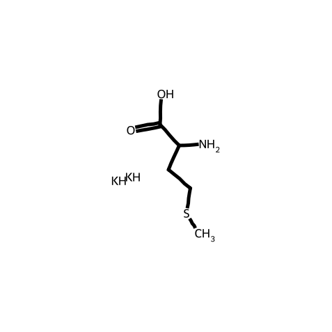 CSCCC(N)C(=O)O.[KH].[KH]